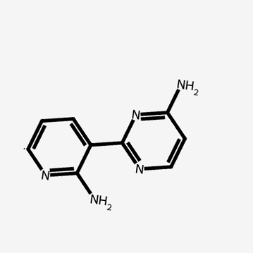 Nc1ccnc(-c2cc[c]nc2N)n1